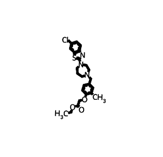 CCOC(=O)COc1ccc(CN2CCCN(c3nc4ccc(Cl)cc4s3)CC2)cc1C